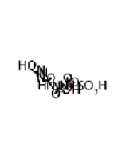 O=C(Cn1cc(CO)nn1)NNC(=O)[C@@H]1CC[C@@H]2CN1C(=O)N2OS(=O)(=O)O